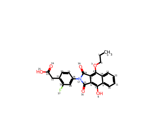 CCCOc1c2c(c(O)c3ccccc13)C(=O)N(c1ccc(CC(=O)O)c(F)c1)C2=O